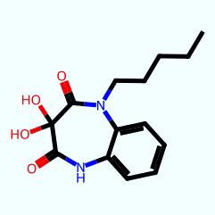 CCCCCN1C(=O)C(O)(O)C(=O)Nc2ccccc21